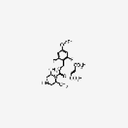 CCCOc1cc(F)c(COC(=O)N2C(C)CNCC2C)c(F)c1.O=C(O)C=CC(=O)O